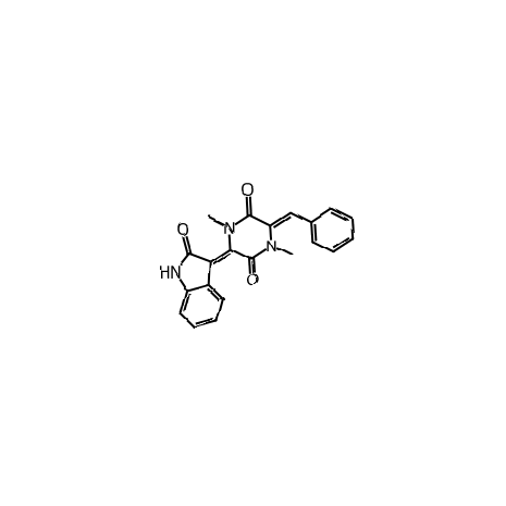 Cn1c(=O)/c(=C2/C(=O)Nc3ccccc32)n(C)c(=O)/c1=C/c1ccccc1